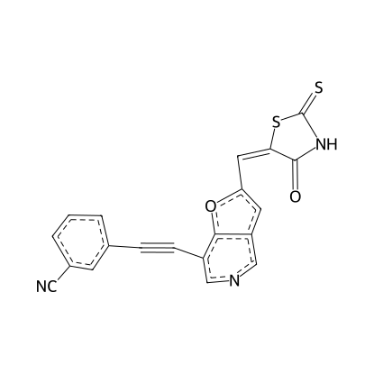 N#Cc1cccc(C#Cc2cncc3cc(C=C4SC(=S)NC4=O)oc23)c1